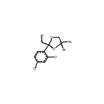 CCCC1(Br)COC(CBr)(c2ccc(Cl)cc2Cl)O1